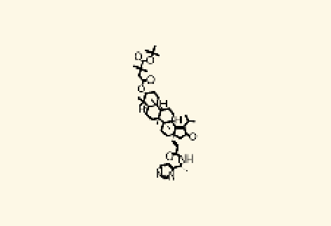 CC(C)C1=C2[C@H]3CC[C@@H]4[C@@]5(C)CC[C@H](OC(=O)CC(C)(C)C(=O)OC(C)(C)C)C(C)(C)[C@@H]5CC[C@@]4(C)[C@]3(C)CC[C@@]2(/C=C/C(=O)N[C@H](C)c2ccncn2)CC1=O